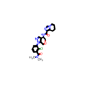 CN(C)C(=O)c1cccc(-n2ncc3c2COCC3NC(=O)c2ncn3c2CCCC3)c1Cl